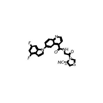 N#C[C@@H]1CSCN1C(=O)CNC(=O)c1ccnc2ccc(-n3ccc4c(F)cc(F)cc43)cc12